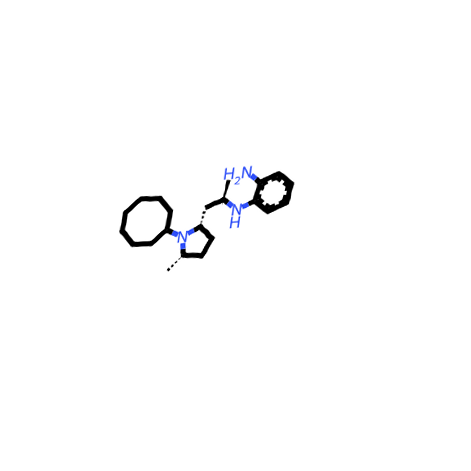 C[C@H](C[C@@H]1CC[C@H](C)N1C1CCCCCCC1)Nc1ccccc1N